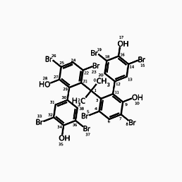 CC(C)(c1c(Br)cc(Br)c(O)c1-c1cc(Br)c(O)c(Br)c1)c1c(Br)cc(Br)c(O)c1-c1cc(Br)c(O)c(Br)c1